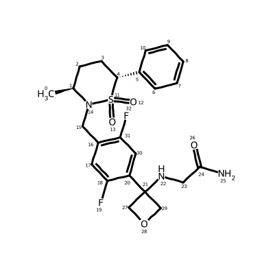 C[C@H]1CC[C@H](c2ccccc2)S(=O)(=O)N1Cc1cc(F)c(C2(NCC(N)=O)COC2)cc1F